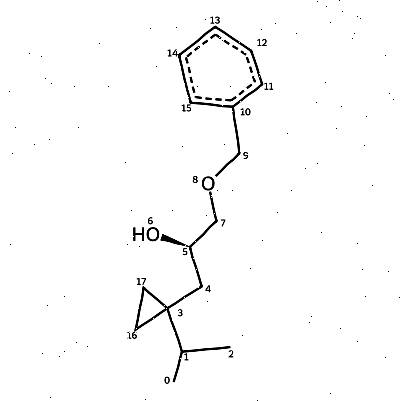 CC(C)C1(C[C@@H](O)COCc2ccccc2)CC1